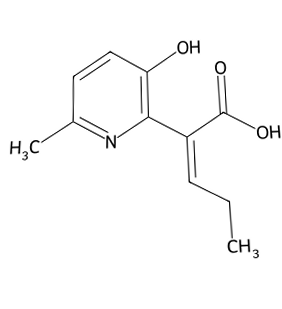 CCC=C(C(=O)O)c1nc(C)ccc1O